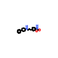 O=c1[nH]c2ccc(CCCN[C@H]3CC[C@H](c4ccccc4)CC3)cc2o1